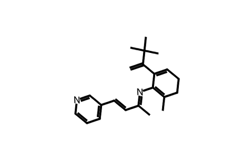 C=C(C1=CCCC(C)=C1/N=C(C)/C=C/c1cccnc1)C(C)(C)C